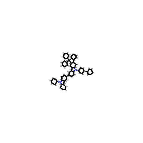 c1ccc(-c2ccc(-n3c4ccc(-c5ccc6c(c5)c5ccccc5n6-c5ccccc5)cc4c4cc5c(cc43)-c3ccccc3C5(c3ccccc3)c3ccccc3)cc2)cc1